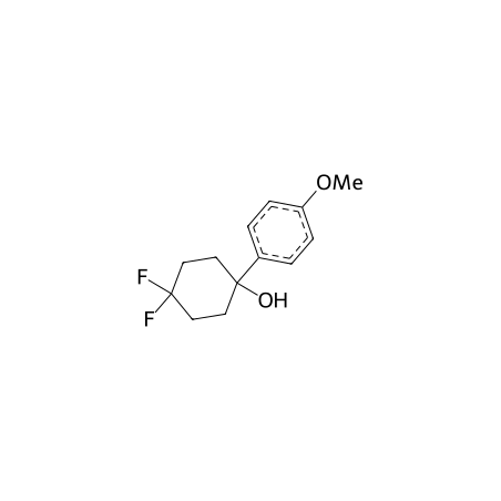 COc1ccc(C2(O)CCC(F)(F)CC2)cc1